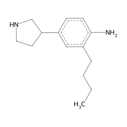 CCCCc1cc(C2CCNC2)ccc1N